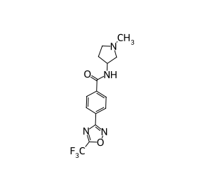 CN1CCC(NC(=O)c2ccc(-c3noc(C(F)(F)F)n3)cc2)C1